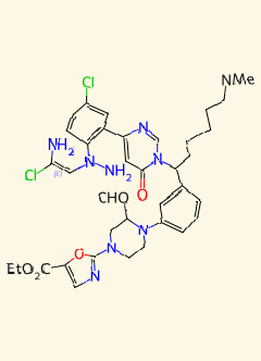 CCOC(=O)c1cnc(N2CCN(c3cccc(C(CCCCCNC)n4cnc(-c5cc(Cl)ccc5N(N)/C=C(\N)Cl)cc4=O)c3)C(C=O)C2)o1